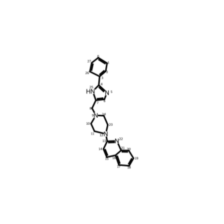 c1ccc(-c2ncc(CN3CCN(c4ccc5ccccc5n4)CC3)[nH]2)cc1